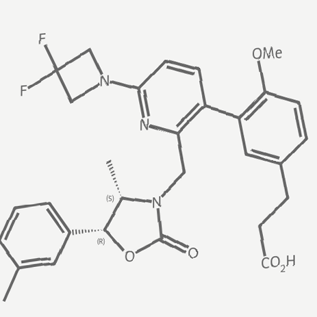 COc1ccc(CCC(=O)O)cc1-c1ccc(N2CC(F)(F)C2)nc1CN1C(=O)O[C@H](c2cccc(C)c2)[C@@H]1C